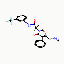 CNCC1=C(c2ccccc2)C(=O)N(C(C)(C)C(=O)Nc2cccc(C(F)(F)F)c2)CO1